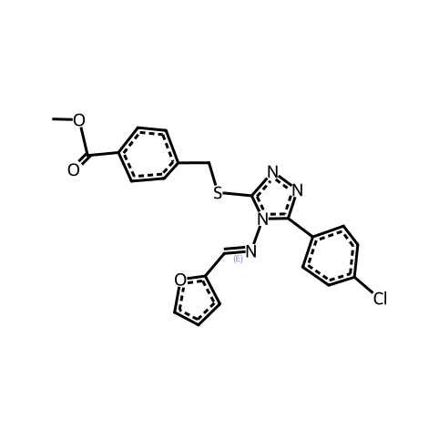 COC(=O)c1ccc(CSc2nnc(-c3ccc(Cl)cc3)n2/N=C/c2ccco2)cc1